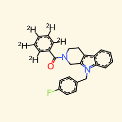 [2H]c1c([2H])c([2H])c(C(=O)N2CCc3c(n(Cc4ccc(F)cc4)c4ccccc34)C2)c([2H])c1[2H]